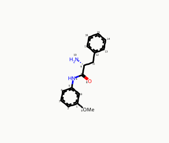 COc1cccc(NC(=O)[C@H](N)Cc2ccccc2)c1